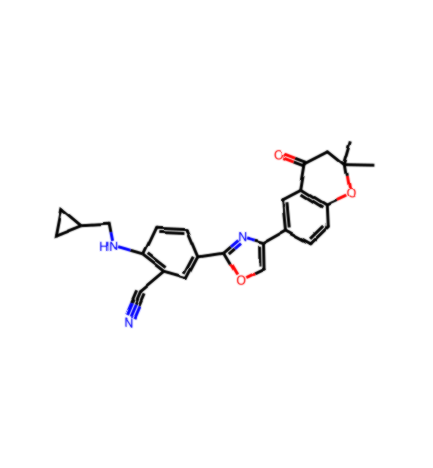 CC1(C)CC(=O)c2cc(-c3coc(-c4ccc(NCC5CC5)c(C#N)c4)n3)ccc2O1